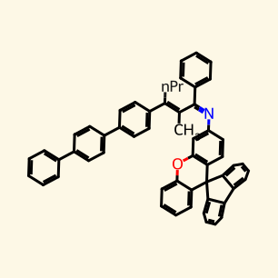 CCC/C(=C(C)\C(=N/c1ccc2c(c1)Oc1ccccc1C21c2ccccc2-c2ccccc21)c1ccccc1)c1ccc(-c2ccc(-c3ccccc3)cc2)cc1